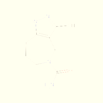 Cc1n[nH]c2c1CN(C(N)=O)CCC2